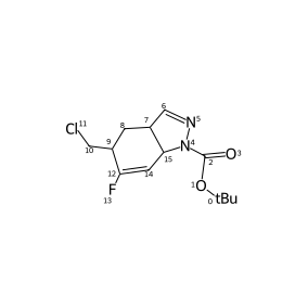 CC(C)(C)OC(=O)N1N=CC2CC(CCl)C(F)=CC21